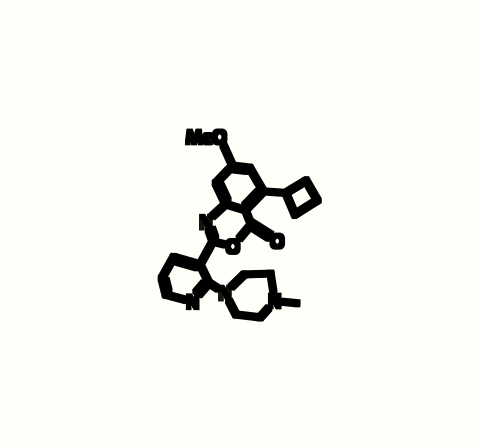 COc1cc(C2CCC2)c2c(=O)oc(-c3cccnc3N3CCN(C)CC3)nc2c1